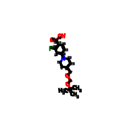 CC(C)(C)OCOCC1CCN(c2ccc(C(=O)O)c(F)c2)CC1